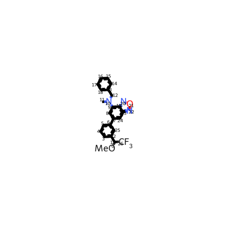 COC(c1cccc(-c2cc(N(C)Cc3ccccc3)c3nonc3c2)c1)C(F)(F)F